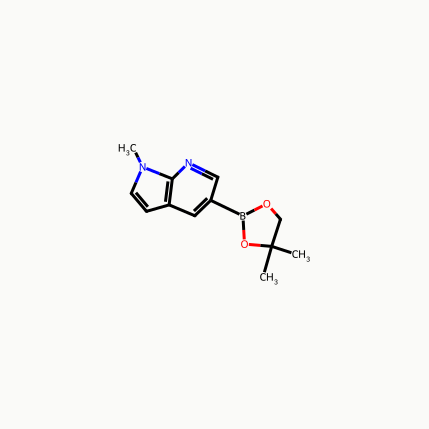 Cn1ccc2cc(B3OCC(C)(C)O3)cnc21